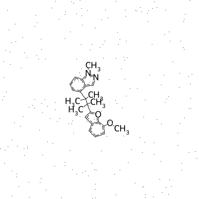 COc1cccc2cc(C(C)(C)C(C)(C)c3cccc4c3cnn4C)oc12